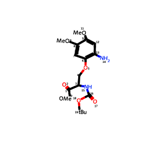 COC(=O)C(COc1cc(OC)c(OC)cc1N)NC(=O)OC(C)(C)C